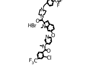 Br.CN(C(=O)c1ccc(C(F)(F)F)cc1Cl)c1ccc(Oc2ccc3cc(C(=O)N4CCN(Cc5ccc(OC(F)F)cc5)CC4)n(C)c3c2)nc1